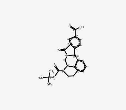 CC(C)(C)OC(=O)N1CCc2ccccc2C1CN1C(=O)c2ccc(C(=O)O)cc2C1=O